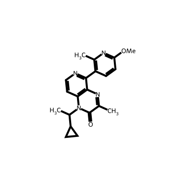 COc1ccc(-c2nccc3c2nc(C)c(=O)n3C(C)C2CC2)c(C)n1